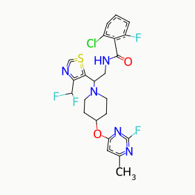 Cc1cc(OC2CCN(C(CNC(=O)c3c(F)cccc3Cl)c3scnc3C(F)F)CC2)nc(F)n1